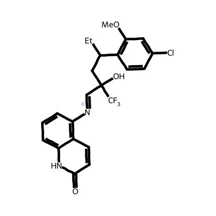 CCC(CC(O)(/C=N/c1cccc2[nH]c(=O)ccc12)C(F)(F)F)c1ccc(Cl)cc1OC